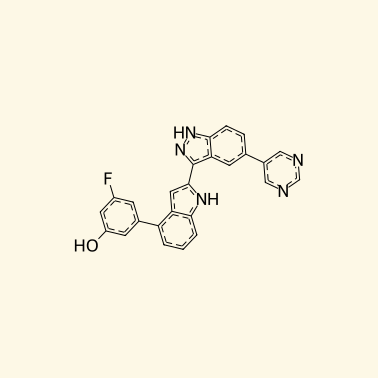 Oc1cc(F)cc(-c2cccc3[nH]c(-c4n[nH]c5ccc(-c6cncnc6)cc45)cc23)c1